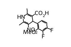 COc1c(C2C(C(=O)O)=C(C)NC(C)=C2[N+](=O)[O-])ccc(F)c1F